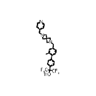 Cc1cc(CN2CC3(CN(Cc4ccncc4)C3)C2)ccc1-c1ccc(C(O)(C(F)(F)F)C(F)(F)F)cc1